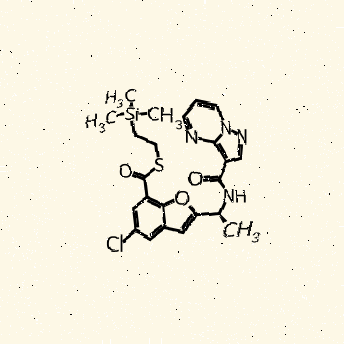 C[C@H](NC(=O)c1cnn2cccnc12)c1cc2cc(Cl)cc(C(=O)SCC[Si](C)(C)C)c2o1